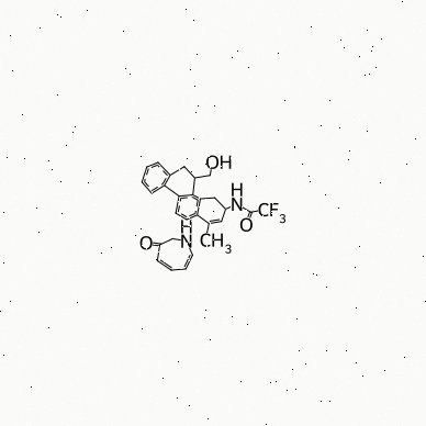 CC1=CC(NC(=O)C(F)(F)F)Cc2c1ccc1c2C(CO)Cc2ccccc2-1.O=C1C=CC=CNC1